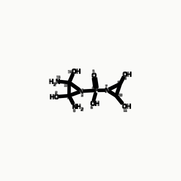 NC1(O)N(P(=O)(O)N2C(O)C2O)C1(N)O